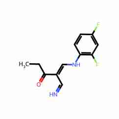 CCC(=O)/C(C=N)=C/Nc1ccc(F)cc1F